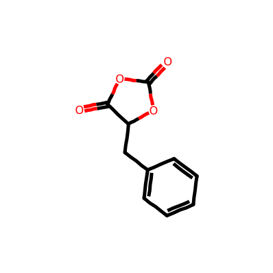 O=C1OC(=O)C(Cc2ccccc2)O1